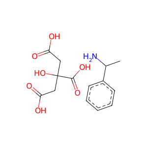 CC(N)c1ccccc1.O=C(O)CC(O)(CC(=O)O)C(=O)O